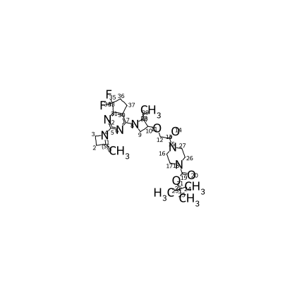 C[C@H]1CCN1c1nc(N2CC(OCC(=O)N3CCN(C(=O)OC(C)(C)C)CC3)[C@@H]2C)c2c(n1)C(F)(F)CC2